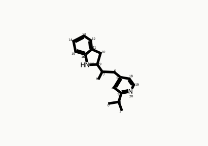 CC(C)c1cc(CC(C)C2Cc3ccccc3N2)ccn1